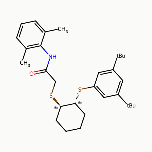 Cc1cccc(C)c1NC(=O)CS[C@@H]1CCCC[C@H]1Sc1cc(C(C)(C)C)cc(C(C)(C)C)c1